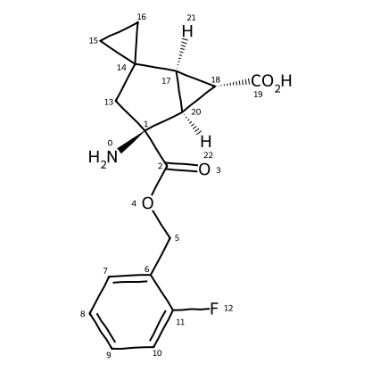 N[C@@]1(C(=O)OCc2ccccc2F)CC2(CC2)[C@H]2[C@H](C(=O)O)[C@H]21